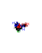 Cc1nc([C@@H](C)c2cc(Cl)c(F)c(-c3ccc(C(=O)NC(C)(C)C(=O)O)nc3)c2OC(C)C)n2ccnc(N)c12